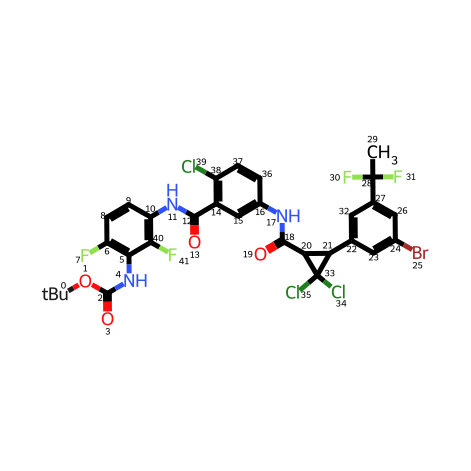 CC(C)(C)OC(=O)Nc1c(F)ccc(NC(=O)c2cc(NC(=O)C3C(c4cc(Br)cc(C(C)(F)F)c4)C3(Cl)Cl)ccc2Cl)c1F